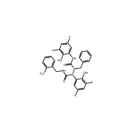 Cc1ccccc1CNC(=O)N(c1cc(F)cc(F)c1O)N(Cc1ccccc1)C(=O)Nc1cc(F)cc(F)c1O